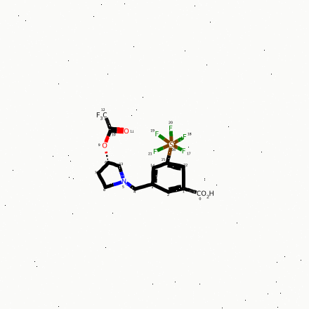 O=C(O)c1cc(CN2CC[C@H](OC(=O)C(F)(F)F)C2)cc(S(F)(F)(F)(F)F)c1